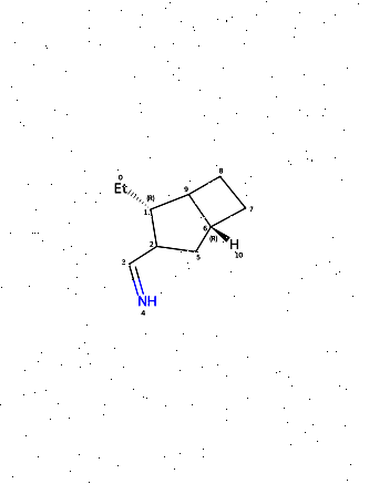 CC[C@H]1C(C=N)C[C@H]2CCC21